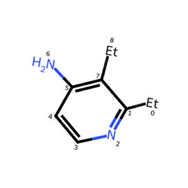 CCc1nccc(N)c1CC